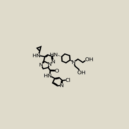 O=C(Nc1ccnc(Cl)c1)C1CN=C2C(NC3CC3)=CC(N[C@H]3CC[C@H](N(CCO)CCO)CC3)=NN21